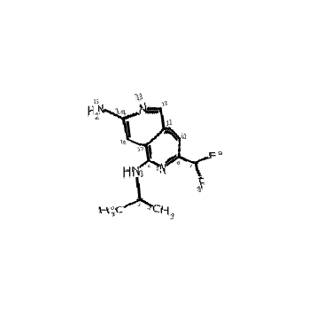 CC(C)Nc1nc(C(F)F)cc2cnc(N)cc12